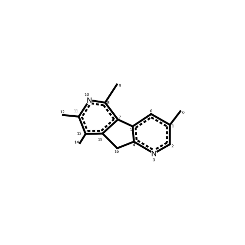 Cc1cnc2c(c1)-c1c(C)nc(C)c(C)c1C2